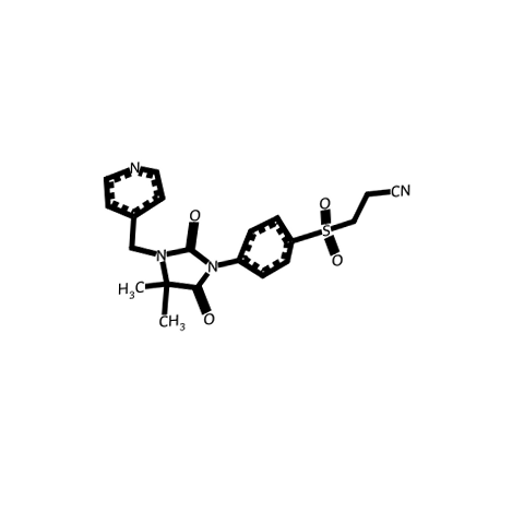 CC1(C)C(=O)N(c2ccc(S(=O)(=O)CCC#N)cc2)C(=O)N1Cc1ccncc1